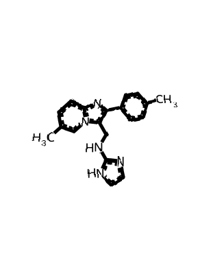 Cc1ccc(-c2nc3ccc(C)cn3c2CNc2ncc[nH]2)cc1